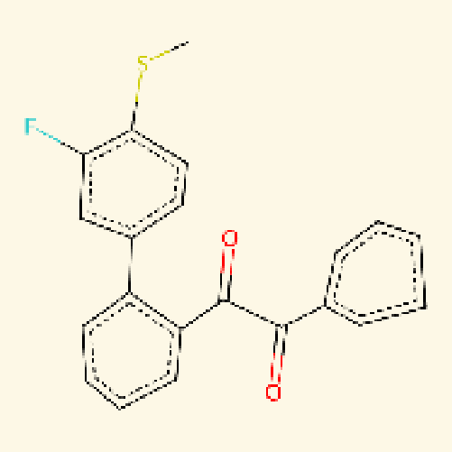 CSc1ccc(-c2ccccc2C(=O)C(=O)c2ccccc2)cc1F